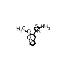 CCOC(=O)/C(=C\c1ccco1)c1csc(N)n1